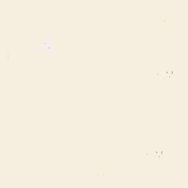 COc1cc2c(c(CF)c1O)CC1c3c(cc(O)c(OC)c3-2)CCN1C